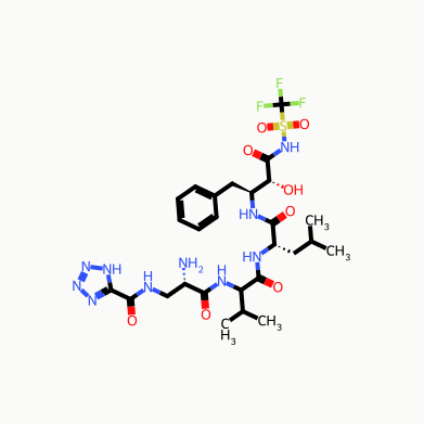 CC(C)C[C@H](NC(=O)C(NC(=O)[C@@H](N)CNC(=O)c1nnn[nH]1)C(C)C)C(=O)N[C@@H](Cc1ccccc1)[C@@H](O)C(=O)NS(=O)(=O)C(F)(F)F